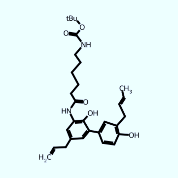 C=CCc1cc(NC(=O)CCCCCNC(=O)OC(C)(C)C)c(O)c(-c2ccc(O)c(C/C=C/C)c2)c1